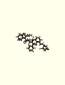 Cc1nn(C)cc1/C=C/c1cccc2cc([C@@H](C)NC(=O)c3c(N)nn4cccnc34)c(-c3ccccc3)nc12